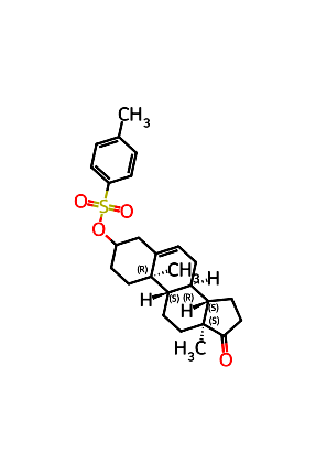 Cc1ccc(S(=O)(=O)OC2CC[C@@]3(C)C(=CC[C@@H]4[C@@H]3CC[C@]3(C)C(=O)CC[C@@H]43)C2)cc1